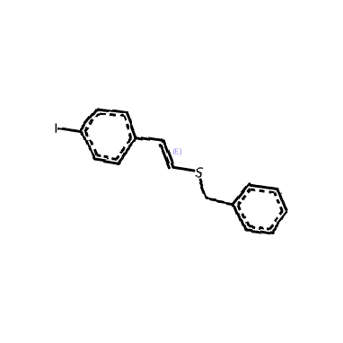 Ic1ccc(/C=C/SCc2ccccc2)cc1